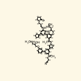 CNCC(O)COc1cccc(-c2nc(-c3cnn(CC(C)c4cc(OCC(O)CNC)cc(-c5nc(NCCCN6CCCC6=O)cc(C6=CCCC6)n5)c4)c3)cc(N(C)CCC#N)n2)c1